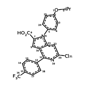 CC(C)Oc1ccc(-n2c(C(=O)O)cc3c(-c4ccc(C(F)(F)F)cc4)nc(Cl)cc32)cc1